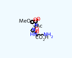 COc1ccc2c(N(C(C)=O)[C@@H](C)C(=O)N3CCC[C@H]3C(=O)N[C@@H](CCCCN)C(=O)O)cc(=O)oc2c1